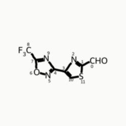 O=Cc1nc(-c2noc(C(F)(F)F)n2)cs1